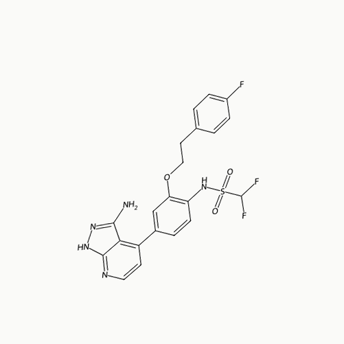 Nc1n[nH]c2nccc(-c3ccc(NS(=O)(=O)C(F)F)c(OCCc4ccc(F)cc4)c3)c12